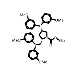 COc1cccc(P(C[C@@H]2C[C@H](P(c3cccc(OC)c3)c3cccc(OC)c3)CN2C(=O)OC(C)(C)C)c2cccc(OC)c2)c1